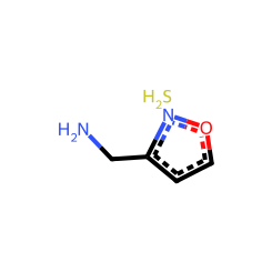 NCc1ccon1.S